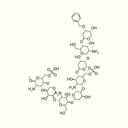 CO[C@H]1OC(COS(=O)(=O)O)[C@@H](O[C@H]2C[C@H](O)[C@H](O[C@H]3OC(CO)[C@H](O[C@H]4C[C@H](O)[C@H](O[C@H]5OC(COS(=O)(=O)O)[C@@H](O[C@H]6C[C@H](O)[C@H](O[C@@H]7OC(CO)[C@H](O[C@H]8C[C@H](OCc9ccccc9)[C@H](O)CO8)[C@H](O)C7N)CO6)[C@H](O)C5N)CO4)[C@H](O)C3N)CO2)[C@H](O)C1N